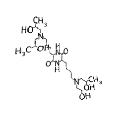 CC(O)CN(CCO)CCCCC1NC(=O)C(CCCCN(CC(C)O)CC(C)O)NC1=O